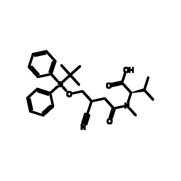 CC(C)[C@@H](C(=O)O)N(C)C(=O)CC(C#N)CO[Si](c1ccccc1)(c1ccccc1)C(C)(C)C